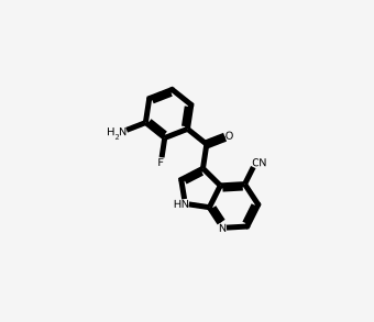 N#Cc1ccnc2[nH]cc(C(=O)c3cccc(N)c3F)c12